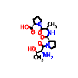 C[C@H](NC(=O)[C@@H]1CCCN1C(=O)[C@@H](N)[C@@H](C)O)C(=O)N1CCC[C@H]1C(=O)O